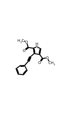 COC(=O)c1c[nH]c(C(=O)OC)c1C#Cc1ccccc1